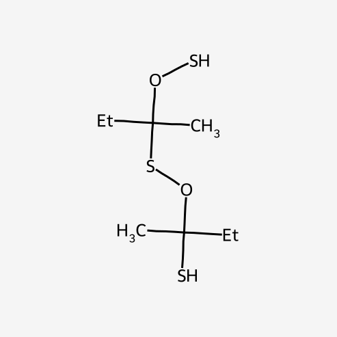 CCC(C)(S)OSC(C)(CC)OS